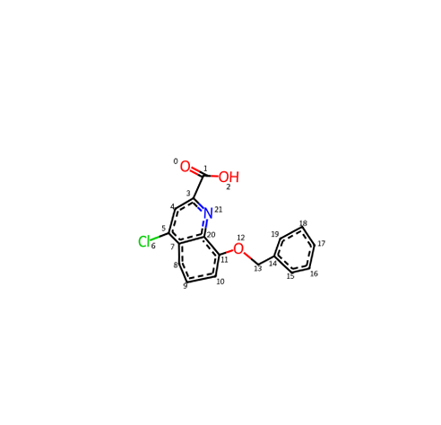 O=C(O)c1cc(Cl)c2cccc(OCc3ccccc3)c2n1